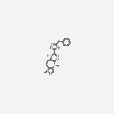 CN1C(=O)C(NC(=O)c2nnc(Cc3ccccc3)[nH]2)CCc2c1cnn2C